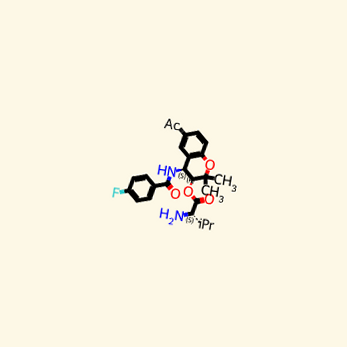 CC(=O)c1ccc2c(c1)[C@H](NC(=O)c1ccc(F)cc1)[C@@H](OC(=O)[C@@H](N)C(C)C)C(C)(C)O2